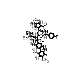 [2H]c1c([2H])c(C([2H])([2H])N(C(=O)Cn2c(SC([2H])([2H])c3ccc(F)cc3)nc(=O)c3c2C([2H])([2H])C([2H])([2H])C3([2H])[2H])C([2H])([2H])C([2H])([2H])N(CC)CC)c([2H])c([2H])c1-c1c([2H])c([2H])c(C(F)(F)F)c(C)c1[2H]